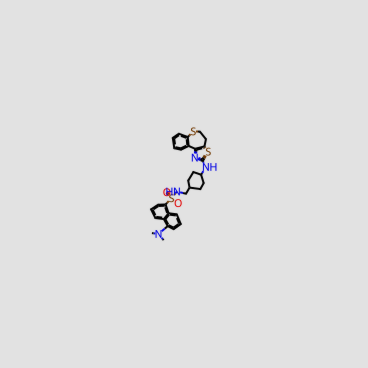 CN(C)c1cccc2c(S(=O)(=O)NCC3CCC(Nc4nc5c(s4)CCSc4ccccc4-5)CC3)cccc12